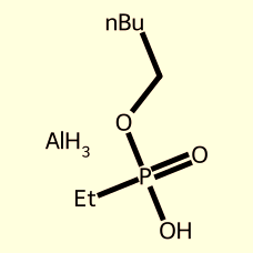 CCCCCOP(=O)(O)CC.[AlH3]